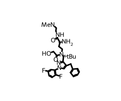 CNCCNC(=O)[C@@H](N)CCN(C(=O)CO)[C@@H](c1nn(-c2cc(F)ccc2F)cc1Cc1ccccc1)C(C)(C)C